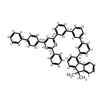 CC1(C)c2ccccc2-c2c(-c3cccc(-c4cccc(-c5cccc(-c6cc(-c7ccc(-c8ccccc8)cc7)nc(-c7ccccc7)n6)c5)c4)c3)cccc21